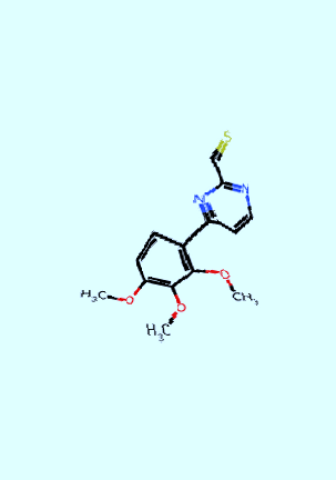 COc1ccc(-c2ccnc(C=S)n2)c(OC)c1OC